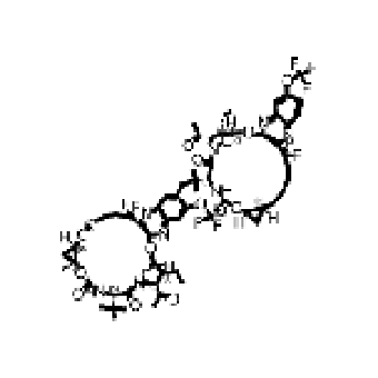 CC[C@@H]1[C@@H]2CN(C(=O)[C@H](C(C)(C)C)NC(=O)O[C@]3(C)C[C@H]3CCCCC(F)(F)c3nc4cc(CC(C)(C)[C@@H]5NC(=O)O[C@@H]6C[C@H]6CCCCC(F)(F)c6nc7ccc(OC(F)(F)F)cc7nc6O[C@H]6CN(C5=O)[C@H](C(C)=O)[C@@H]6CC)c(OC(F)(F)F)cc4nc3O2)[C@@H]1C(C)=O